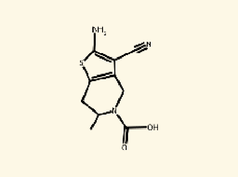 CC1Cc2sc(N)c(C#N)c2CN1C(=O)O